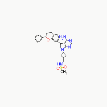 CS(=O)(=O)NC[C@H]1C[C@@H](n2cc(-c3ccc4c(c3)O[C@@H](c3ccccc3)CC4)c3c(N)ncnc32)C1